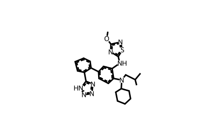 COc1nsc(Nc2cc(-c3ccccc3-c3nnn[nH]3)ccc2N(CC(C)C)C2CCCCC2)n1